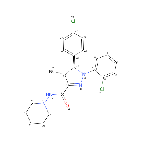 N#C[C@H]1C(C(=O)NN2CCCCC2)=NN(c2ccccc2Cl)[C@@H]1c1ccc(Cl)cc1